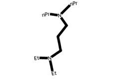 CCCN(CCC)CCCN(CC)CC